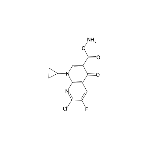 NOC(=O)c1cn(C2CC2)c2nc(Cl)c(F)cc2c1=O